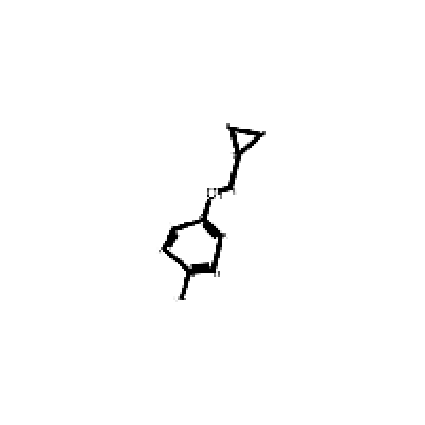 [CH2]c1ccc(OCC2CC2)cc1